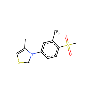 CC1=CS[CH]N1c1ccc(S(C)(=O)=O)c(C(F)(F)F)c1